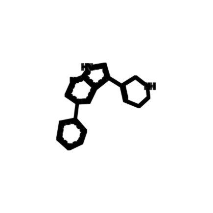 C1=C(c2c[nH]c3ncc(-c4ccccc4)cc23)CNCC1